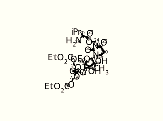 CCOC(=O)OCOP(=O)(OCOC(=O)OCC)O[C@H]1[C@]2(O)[C@@](C)(O)[C@H](n3ccc(=O)n(COC(=O)C(N)C(C)C)c3=O)O[C@]12CF